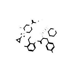 C[C@H]1CN(C(=O)OC(C)(C)C)C[C@H](CCc2c(F)cccc2NC(=O)[C@@H](N=[N+]=[N-])[C@@H](c2ccc(Cl)cc2)C2CCOCC2)N1S(=O)(=O)C1CC1